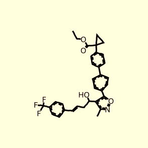 CCOC(=O)C1(c2ccc(-c3ccc(-c4onc(C)c4C(O)CC=Cc4ccc(C(F)(F)F)cc4)cc3)cc2)CC1